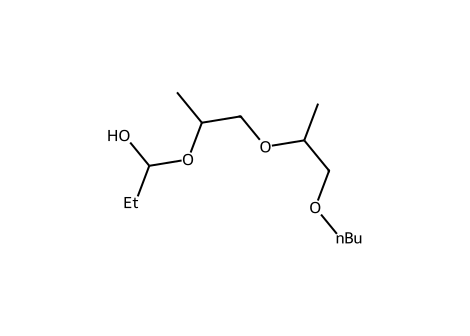 CCCCOCC(C)OCC(C)OC(O)CC